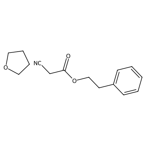 C1CCOC1.N#CCC(=O)OCCc1ccccc1